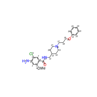 COc1cc(N)c(Cl)cc1C(=O)NCC1CCN(CCCOc2ccccc2)CC1